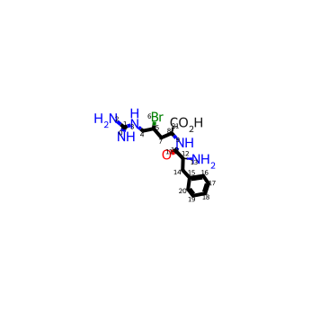 N=C(N)NCC(Br)C[C@H](NC(=O)[C@@H](N)Cc1ccccc1)C(=O)O